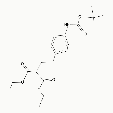 CCOC(=O)C(CCc1ccc(NC(=O)OC(C)(C)C)nc1)C(=O)OCC